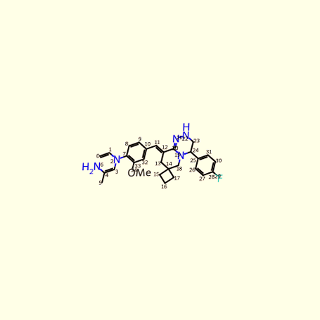 C=CN(/C=C(/C)N)c1ccc(/C=C2\CC3(CCC3)CN3C2=NNCC3c2ccc(F)cc2)cc1OC